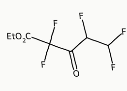 CCOC(=O)C(F)(F)C(=O)C(F)C(F)F